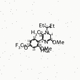 CCC(CC)N1CC(OC)=NC(c2ccc(OC(F)(F)F)cc2OC)=C1C.Cl